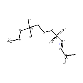 CN(C)/C=N/S(=O)(=O)CCCC(C)(C)CCO